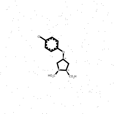 O=C(O)[C@@H]1C[C@H](Oc2ccc(Cl)cc2)CN1C(=O)O